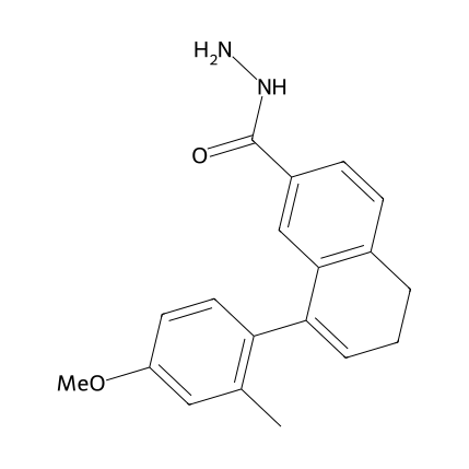 COc1ccc(C2=CCCc3ccc(C(=O)NN)cc32)c(C)c1